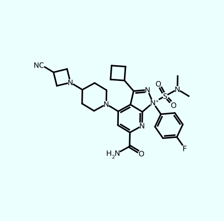 CN(C)S(=O)(=O)[N+]1(c2ccc(F)cc2)N=C(C2CCC2)c2c(N3CCC(N4CC(C#N)C4)CC3)cc(C(N)=O)nc21